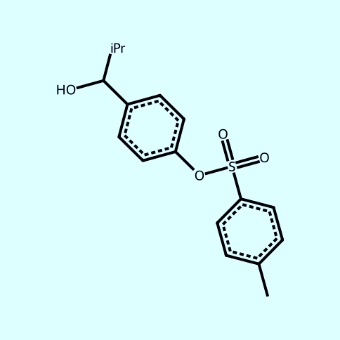 Cc1ccc(S(=O)(=O)Oc2ccc(C(O)C(C)C)cc2)cc1